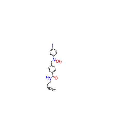 CCCCCCCCCCCCNC(=O)c1ccc(CN(O)c2ccc(I)cc2)cc1